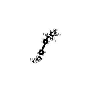 CNC(=O)[C@@](C)(C(=O)NO)N(C)C(=O)c1ccc(C#Cc2ccc([C@H]3COC(C)(C)O3)cc2)cc1